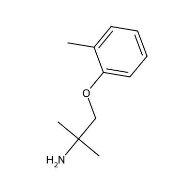 Cc1ccccc1OCC(C)(C)N